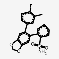 Cc1cc(-c2cc3c(cc2-c2ccccc2S(N)(=O)=O)OCO3)ccc1F